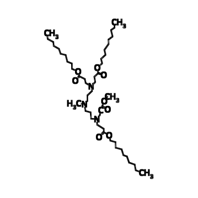 CCCCCCCCCCOC(=O)CCN(CCCN(C)CCCN(CCC(=O)OCCCCCCCCCC)CCC(=O)OCCCCCCCCCC)CCC(=O)OC